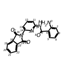 Nc1ccccc1C(=O)Nc1cccc(N2C(=O)c3ccccc3C2=O)n1